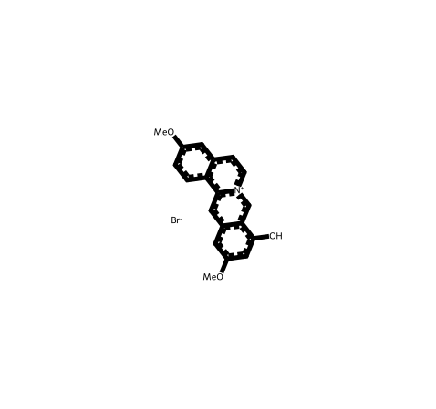 COc1cc(O)c2c[n+]3ccc4cc(OC)ccc4c3cc2c1.[Br-]